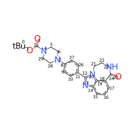 CC(C)(C)OC(=O)N1CCN(c2ccc(-c3nc4cccc5c4n3CCNC5=O)cc2)CC1